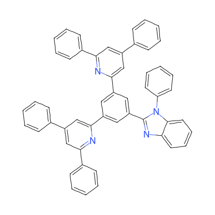 c1ccc(-c2cc(-c3ccccc3)nc(-c3cc(-c4cc(-c5ccccc5)cc(-c5ccccc5)n4)cc(-c4nc5ccccc5n4-c4ccccc4)c3)c2)cc1